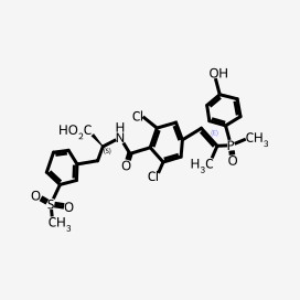 C/C(=C\c1cc(Cl)c(C(=O)N[C@@H](Cc2cccc(S(C)(=O)=O)c2)C(=O)O)c(Cl)c1)P(C)(=O)c1ccc(O)cc1